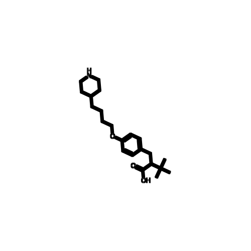 CC(C)(C)C(Cc1ccc(OCCCCC2CCNCC2)cc1)C(=O)O